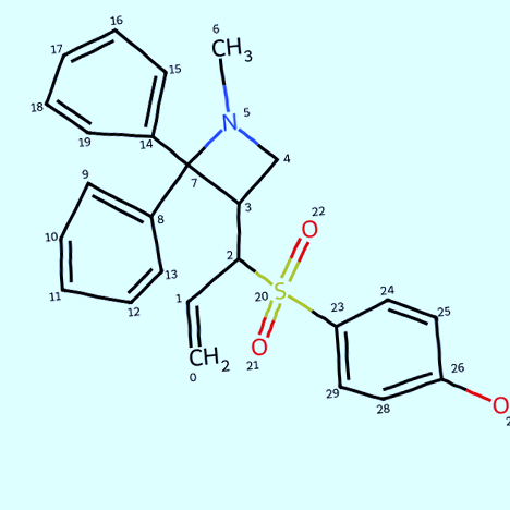 C=CC(C1CN(C)C1(c1ccccc1)c1ccccc1)S(=O)(=O)c1ccc(O)cc1